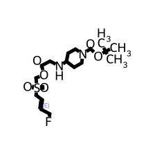 CC(C)(C)OC(=O)N1CCC(NCC(=O)OCS(=O)(=O)C/C=C/CF)CC1